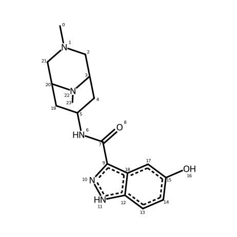 CN1CC2CC(NC(=O)c3n[nH]c4ccc(O)cc34)CC(C1)N2C